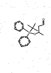 CC(CC=O)O[Si](c1ccccc1)(c1ccccc1)C(C)(C)C